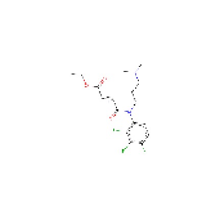 CCOC(=O)/C=C/C(=O)N(CCCN(C)C)c1ccc(F)c(F)c1F